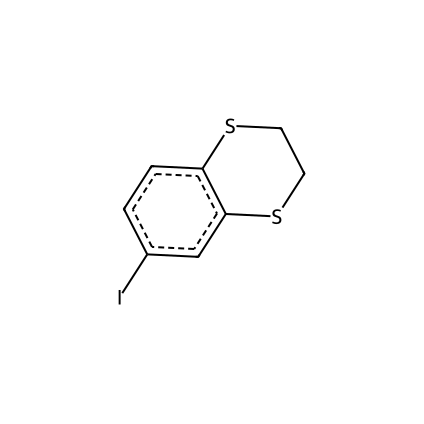 Ic1ccc2c(c1)SCCS2